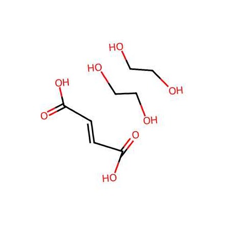 O=C(O)/C=C/C(=O)O.OCCO.OCCO